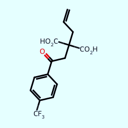 C=CCC(CC(=O)c1ccc(C(F)(F)F)cc1)(C(=O)O)C(=O)O